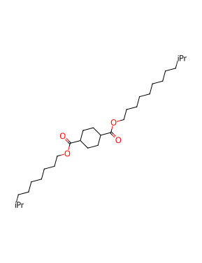 CC(C)CCCCCCCCCOC(=O)C1CCC(C(=O)OCCCCCCCC(C)C)CC1